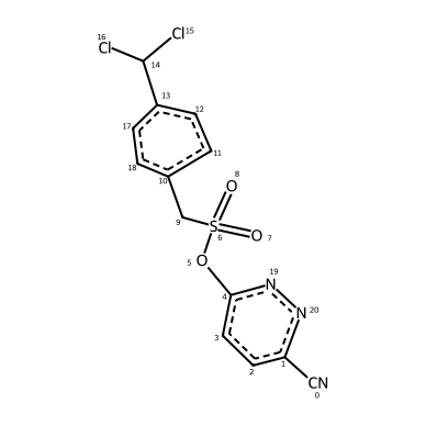 N#Cc1ccc(OS(=O)(=O)Cc2ccc(C(Cl)Cl)cc2)nn1